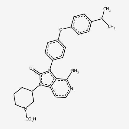 CN(C)c1ccc(Oc2ccc(-n3c(=O)n(C4CCCN(C(=O)O)C4)c4ccnc(N)c43)cc2)cc1